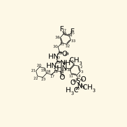 Cc1ccc(S(=O)(=O)N(C)C)cc1NC(=O)[C@@H](CC1CCCCC1)NC(=N)NC(=O)Cc1ccc(F)c(F)c1